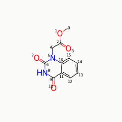 COC(=O)Cn1c(=O)[nH]c(=O)c2ccccc21